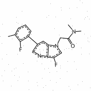 Cc1cccc(-c2cnc3c(F)cn(CC(=O)N(C)C)c3c2)c1F